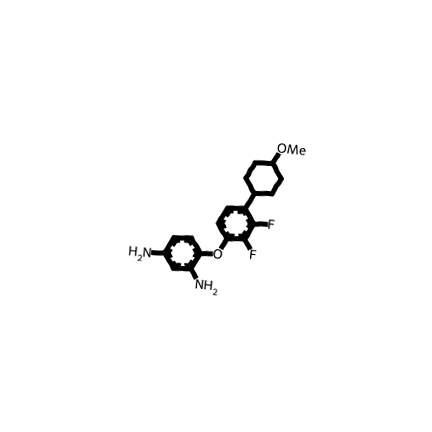 COC1CCC(c2ccc(Oc3ccc(N)cc3N)c(F)c2F)CC1